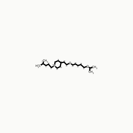 CC(C)CCCN1CCC(CCOCCCCCOC(C)C)CC1